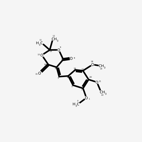 COc1cc(C=C2C(=O)OC(C)(C)OC2=O)cc(OC)c1OC